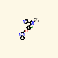 Fc1cc(OCc2cnc3ccccc3n2)ccc1-c1nn(CC(F)(F)F)cc1-c1ccncc1